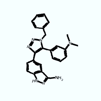 CN(C)c1cccc(-c2c(-c3ccc4[nH]nc(N)c4c3)nnn2Cc2ccccc2)c1